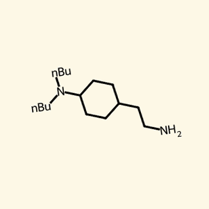 CCCCN(CCCC)C1CCC(CCN)CC1